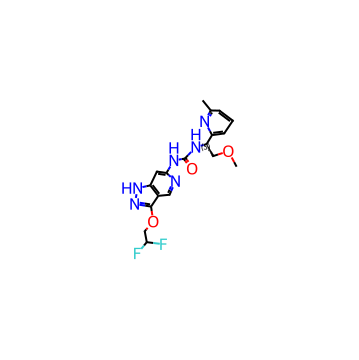 COC[C@@H](NC(=O)Nc1cc2[nH]nc(OCC(F)F)c2cn1)c1cccc(C)n1